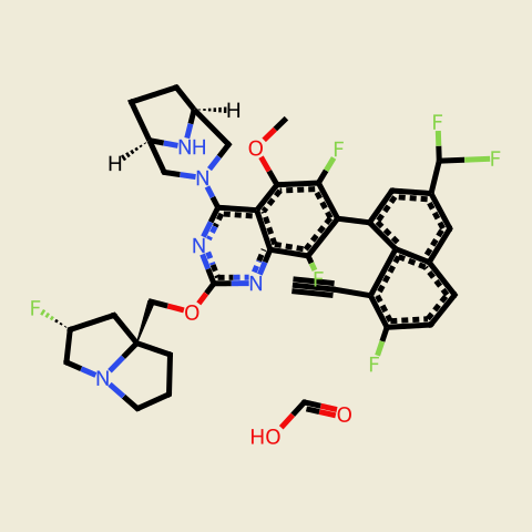 C#Cc1c(F)ccc2cc(C(F)F)cc(-c3c(F)c(OC)c4c(N5C[C@H]6CC[C@@H](C5)N6)nc(OC[C@@]56CCCN5C[C@H](F)C6)nc4c3F)c12.O=CO